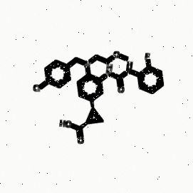 COCCN(Cc1ccc(Cl)cc1)c1ccc([C@H]2C[C@H]2C(=O)O)cc1NC(=O)Nc1ccccc1F